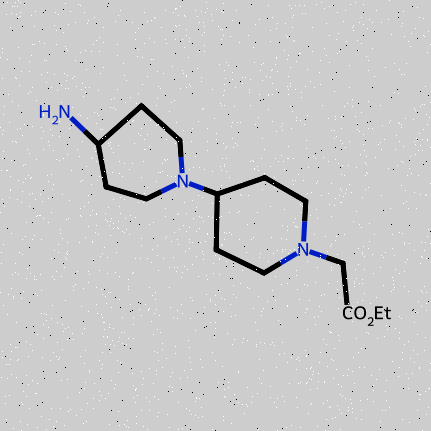 CCOC(=O)CN1CCC(N2CCC(N)CC2)CC1